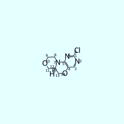 Clc1ncc2c(n1)N1CCOC[C@@H]1CO2